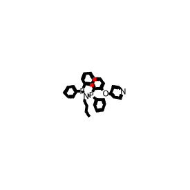 CCCCN(P(c1ccccc1)c1ccccc1)P(c1ccccc1)c1ccccc1Oc1ccncc1